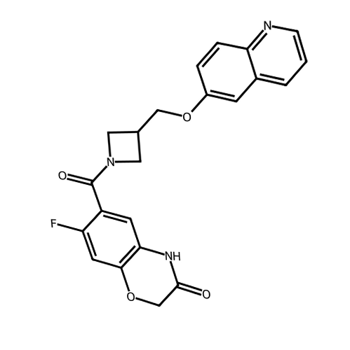 O=C1COc2cc(F)c(C(=O)N3CC(COc4ccc5ncccc5c4)C3)cc2N1